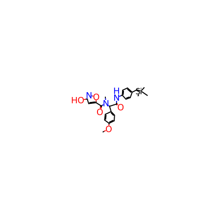 COc1ccc(C(C(=O)Nc2ccc(C[Si](C)(C)C)cc2)N(C)C(=O)c2cc(O)no2)cc1